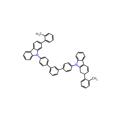 Cc1ccccc1-c1ccc2c3ccccc3n(-c3ccc(-c4cccc(-c5ccc(-n6c7c(c8ccccc86)C=CC(c6ccccc6C)C7)cc5)c4)cc3)c2c1